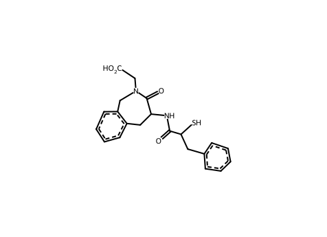 O=C(O)CN1Cc2ccccc2CC(NC(=O)C(S)Cc2ccccc2)C1=O